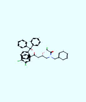 O=C(CCl)N(CC1CCCCC1)C[C@H](O)CC(OC(c1ccccc1)(c1ccccc1)c1ccccc1)c1ccc(Cl)c(Cl)c1